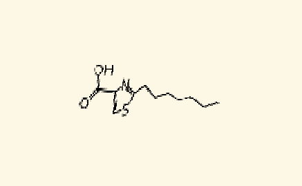 CCCCCCCc1nc(C(=O)O)cs1